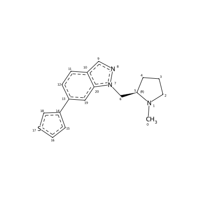 CN1CCC[C@@H]1Cn1ncc2ccc(-c3ccsc3)cc21